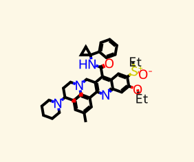 CCOc1cc2nc(-c3cccc(C)c3)c(CN3CCC(N4CCCCC4)CC3)c(C(=O)NC3(c4ccccc4)CC3)c2cc1[S+]([O-])CC